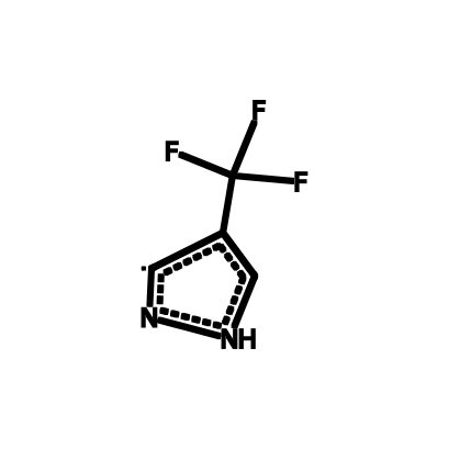 FC(F)(F)c1[c]n[nH]c1